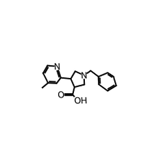 Cc1ccnc(C2CN(Cc3ccccc3)CC2C(=O)O)c1